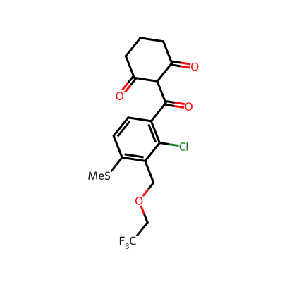 CSc1ccc(C(=O)C2C(=O)CCCC2=O)c(Cl)c1COCC(F)(F)F